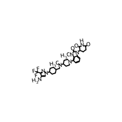 CN(CC1CCC(n2cc(N)c(C(F)(F)F)n2)CC1)C1CCN(c2cccc3c2n(C)c(=O)n3C2CCC(=O)NC2=O)CC1